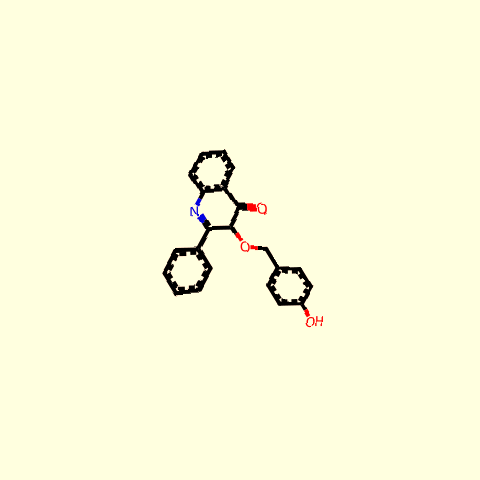 O=C1c2ccccc2N=C(c2ccccc2)C1OCc1ccc(O)cc1